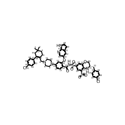 CC1(C)CCC(CN2CCN(c3ccc(C(=O)NS(=O)(=O)c4cc5c(c([N+](=O)[O-])c4)N[C@@H](Cc4ccc(Cl)cc4)CO5)c(Oc4cnc5[nH]ccc5c4)c3)CC2)=C(c2ccc(Cl)cc2)C1